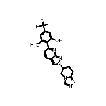 Cc1cc(C(F)(F)F)cc(O)c1-c1ccc2cn([C@H]3CCc4nncn4C3)nc2n1